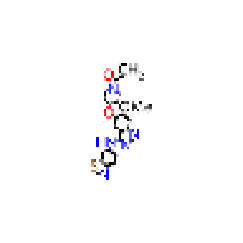 C=CC(=O)N1CCC(Oc2cc3c(Nc4ccc5ncsc5c4)ncnc3cc2OC)CC1